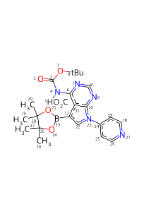 CC(C)(C)OC(=O)N(C(=O)O)c1ncnc2c1c(B1OC(C)(C)C(C)(C)O1)cn2-c1ccncc1